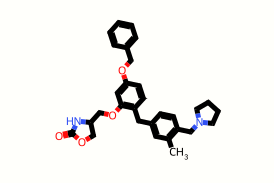 Cc1cc(Cc2[c]cc(OCc3ccccc3)cc2OCC2COC(=O)N2)ccc1CN1CCCC1